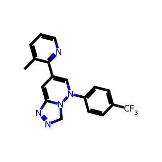 Cc1cccnc1C1=CN(c2ccc(C(F)(F)F)cc2)N2CN=NC2=C1